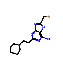 Nc1nc(CCC2CCCCC2)nc2nc(CBr)[nH]c12